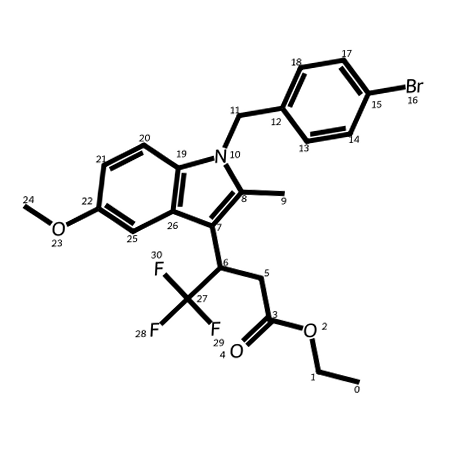 CCOC(=O)CC(c1c(C)n(Cc2ccc(Br)cc2)c2ccc(OC)cc12)C(F)(F)F